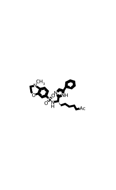 CC(=O)CCCCC[C@H](NS(=O)(=O)c1ccc2c(c1)OCCN2C)c1ncc(-c2ccccc2)[nH]1